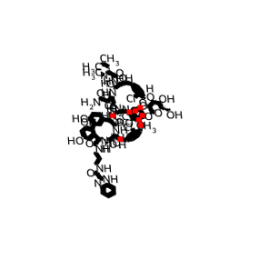 CN[C@H](CC(C)C)C(=O)N[C@H]1C(=O)N[C@@H](CC(N)=O)C(=O)NC2C(=O)N[C@H]3C(=O)N[C@H](C(=O)NC(C(=O)NCCCNC(=O)c4nc5ccccc5[nH]4)c4cc(O)cc(O)c4-c4cc3ccc4O)[C@H](O)c3ccc(c(Cl)c3)Oc3cc2cc(c3O[C@@H]2O[C@H](CO)[C@@H](O)[C@H](O)[C@H]2OC2C[C@](C)(N)[C@H](O)[C@H](C)O2)Oc2ccc(cc2Cl)[C@H]1O